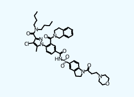 CCCCN(CCCC)C(=O)c1nn(-c2ccc(C(=O)NS(=O)(=O)c3ccc4c(c3)CCN4C(=O)CCN3CCOCC3)cc2C(=O)N2CCc3ccccc3C2)c(C)c1Cl